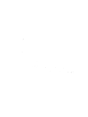 C[C@@H](CCCCC(=O)O)NC(=O)OCc1ccccc1